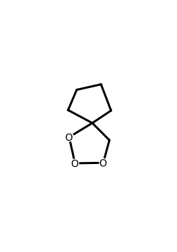 C1CCC2(C1)COOO2